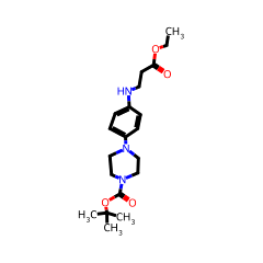 CCOC(=O)CCNc1ccc(N2CCN(C(=O)OC(C)(C)C)CC2)cc1